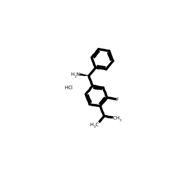 CC(C)c1ccc([C@@H](N)c2ccccc2)cc1F.Cl